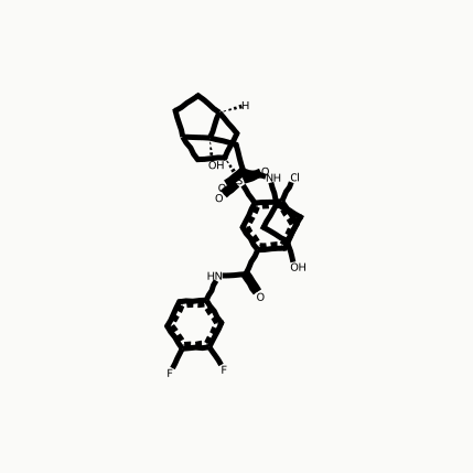 O=C(C[C@@]1(O)C2CC[C@H]1C[C@H](S(=O)(=O)c1cc(C(=O)Nc3ccc(F)c(F)c3)ccc1Cl)C2)NC1CC(O)C1